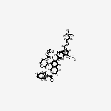 CC(C)(C)OC(=O)N1CCOC[C@H]1c1cc(-c2cnc3c(n2)c(C(F)(F)F)cn3COCC[Si](C)(C)C)cc2c1CN(C(=O)N1CC3CCC(C1)O3)CC2